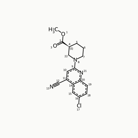 COC(=O)[C@H]1CCCN(c2cc(C#N)c3cc(Cl)ccc3n2)C1